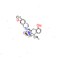 COc1ccc2c(c1)CN(C(=O)N1CC[C@@]3(C)c4cccc(O)c4C[C@@H]1C3(C)C)CC2